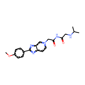 COc1ccc(-c2nc3ccn(CC(=O)NC(=O)CNC(C)C)cc-3n2)cc1